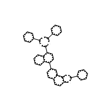 c1ccc(-c2nc(-c3ccccc3)nc(-c3ccc(-c4ccc5ccc6nc(-c7ccccc7)sc6c5c4)c4ccccc34)n2)cc1